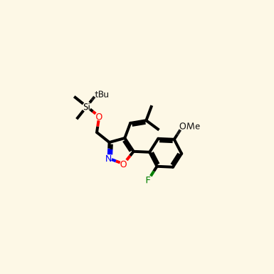 COc1ccc(F)c(-c2onc(CO[Si](C)(C)C(C)(C)C)c2C=C(C)C)c1